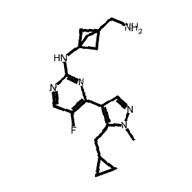 Cn1ncc(-c2nc(NC34CC(CN)(C3)C4)ncc2F)c1CC1CC1